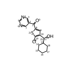 O=C(c1cncnc1)c1cc([C@@H](O)C2CCCCC2)c(Cl)s1